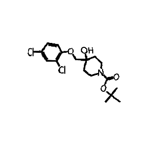 CC(C)(C)OC(=O)N1CCC(O)(COc2ccc(Cl)cc2Cl)CC1